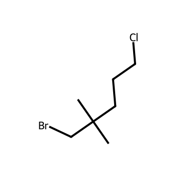 CC(C)(CBr)CCCCl